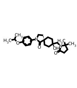 CC(C)Oc1ccc(N2CC[C@]3(CC[C@@](O)(CN4C(=O)CCC4(C)C)CC3)C2=O)cc1